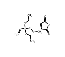 C=C[Si](OCC)(OCC)OCC.O=C1C=CC(=O)O1